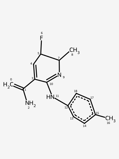 C=C(N)C1=CC(F)C(C)N=C1Nc1ccc(C)cc1